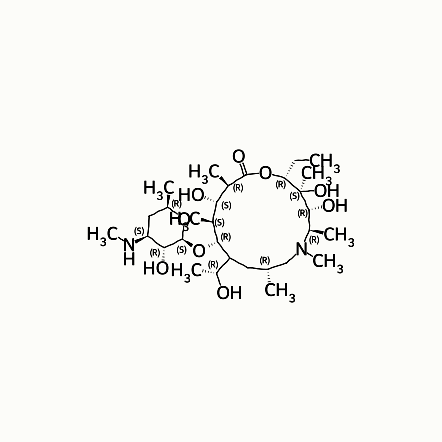 CC[C@H]1OC(=O)[C@H](C)[C@@H](O)[C@H](C)[C@@H](O[C@@H]2O[C@H](C)C[C@H](NC)[C@H]2O)C([C@@H](C)O)C[C@@H](C)CN(C)[C@H](C)[C@@H](O)[C@]1(C)O